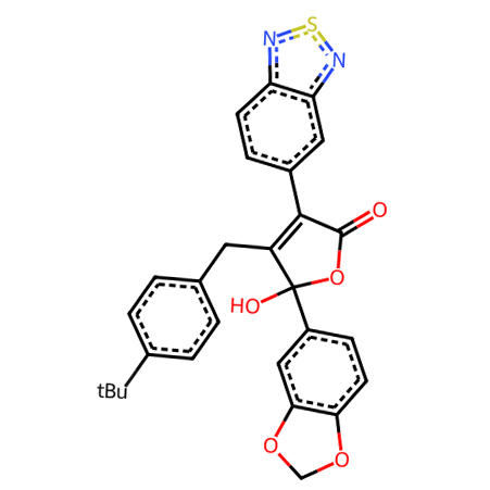 CC(C)(C)c1ccc(CC2=C(c3ccc4nsnc4c3)C(=O)OC2(O)c2ccc3c(c2)OCO3)cc1